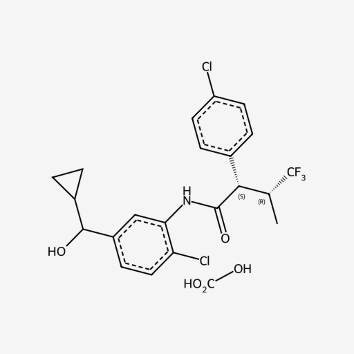 C[C@H]([C@H](C(=O)Nc1cc(C(O)C2CC2)ccc1Cl)c1ccc(Cl)cc1)C(F)(F)F.O=C(O)O